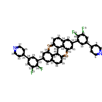 Fc1cc(-c2ccncc2)cc(-c2cc3ccc4sc5cc(-c6cc(-c7ccncc7)cc(F)c6F)cc6ccc7sc(c2)c3c4-c7c65)c1F